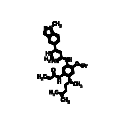 C=CC(=O)Nc1cc(NC(=N)/C=C(\NN)c2ccc3c(cnn3C)c2)c(OC(C)C)cc1N(C)CCN(C)C